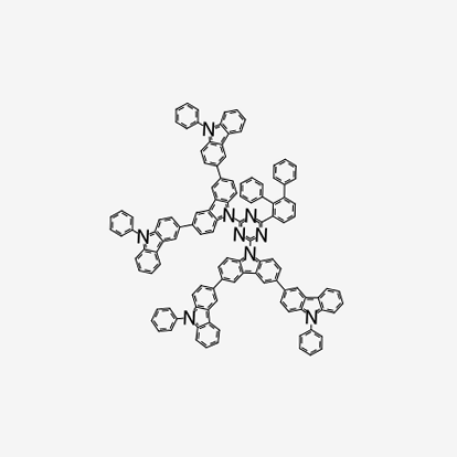 c1ccc(-c2cccc(-c3nc(-n4c5ccc(-c6ccc7c(c6)c6ccccc6n7-c6ccccc6)cc5c5cc(-c6ccc7c(c6)c6ccccc6n7-c6ccccc6)ccc54)nc(-n4c5ccc(-c6ccc7c(c6)c6ccccc6n7-c6ccccc6)cc5c5cc(-c6ccc7c(c6)c6ccccc6n7-c6ccccc6)ccc54)n3)c2-c2ccccc2)cc1